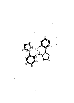 Cc1cccnc1C1CCCN1Cc1ncccc1-n1cccn1